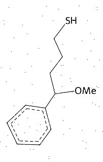 COC(CCCS)c1ccccc1